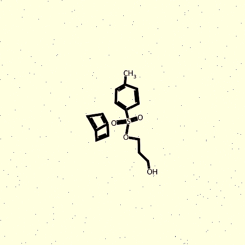 Cc1ccc(S(=O)(=O)OCCCO)cc1.c1cc2ccc1-2